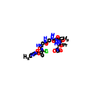 CC(C)C[C@H](NC(=O)CCCN1C(=O)C=CC1=O)C(=O)N[C@@H](C)C(=O)NCC(=O)Nc1ccc(C(=O)Nc2ccc3[nH]c(C(=O)N4C[C@@H](CCl)c5c4cc(OC(=O)N4CCN(C)CC4)c4ccccc54)cc3c2)cc1